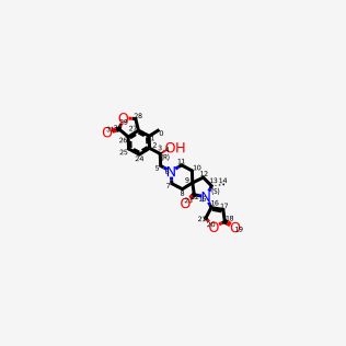 Cc1c([C@@H](O)CN2CCC3(CC2)C[C@H](C)N(C2=CC(=O)OC2)C3=O)ccc2c1COC2=O